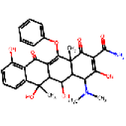 CN(C)C1C(O)=C(C(N)=O)C(=O)C2(C)C(Oc3ccccc3)=C3C(=O)c4c(O)cccc4C(C)(O)C3C(O)C12